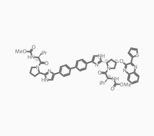 COC(=O)N[C@H](C(=O)N1CCCC1c1nc(-c2ccc(-c3ccc(-c4c[nH]c([C@@H]5C[C@H](Oc6nc7ccccc7nc6-c6cccs6)CN5C(=O)[C@@H](NC(=O)OC)C(C)C)n4)cc3)cc2)c[nH]1)C(C)C